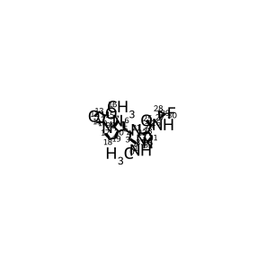 CNc1cc(-c2cnc3n([C@H]4COC[C@@H]4OC)cccc2-3)nc2c(C(=O)N[C@@H]3C[C@@H]3F)cnn12